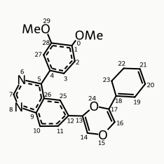 COc1ccc(-c2ncnc3ccc(C4=COC=C(C5=CC=CCC5)O4)cc23)cc1OC